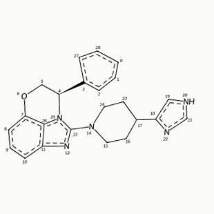 c1ccc([C@@H]2COc3cccc4nc(N5CCC(c6c[nH]cn6)CC5)n2c34)cc1